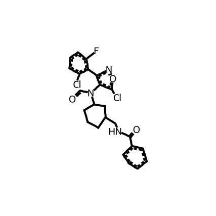 O=CN(c1c(-c2c(F)cccc2Cl)noc1Cl)C1CCCC(CNC(=O)c2ccccc2)C1